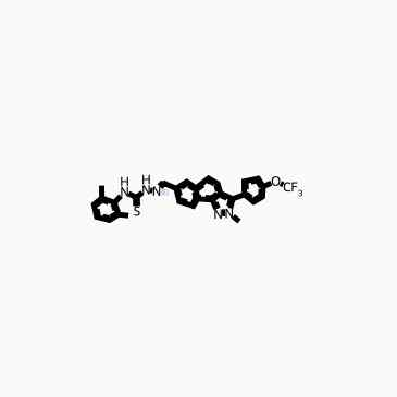 Cc1cccc(C)c1NC(=S)N/N=C/c1ccc2c(ccc3c(-c4ccc(OC(F)(F)F)cc4)n(C)nc32)c1